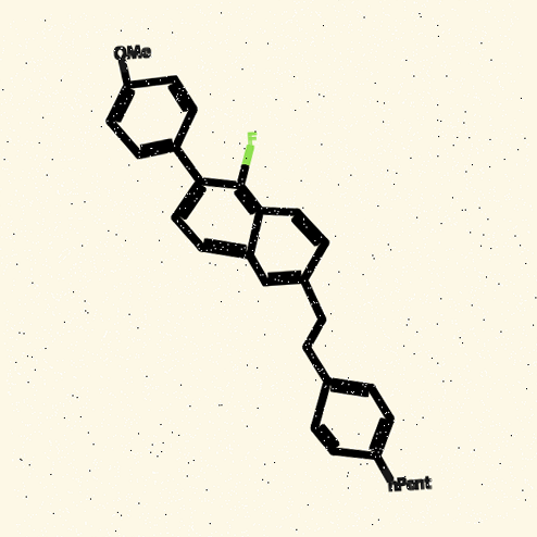 CCCCCc1ccc(CCc2ccc3c(F)c(-c4ccc(OC)cc4)ccc3c2)cc1